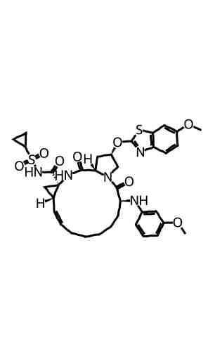 COc1cccc(N[C@H]2CCCCC/C=C\[C@@H]3C[C@@]3(C(=O)NS(=O)(=O)C3CC3)NC(=O)[C@@H]3C[C@@H](Oc4nc5ccc(OC)cc5s4)CN3C2=O)c1